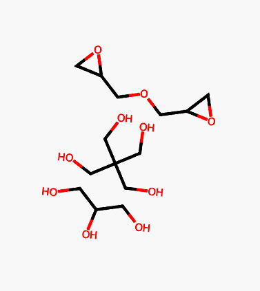 C(OCC1CO1)C1CO1.OCC(CO)(CO)CO.OCC(O)CO